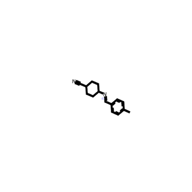 Cc1ccc(/C=N/C2CCC(C#N)CC2)cc1